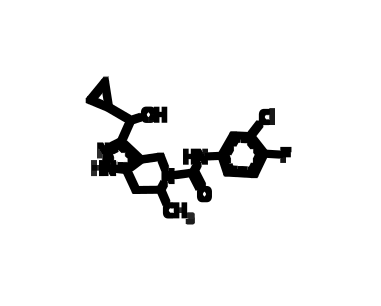 CC1Cc2[nH]nc(C(O)C3CC3)c2CN1C(=O)Nc1ccc(F)c(Cl)c1